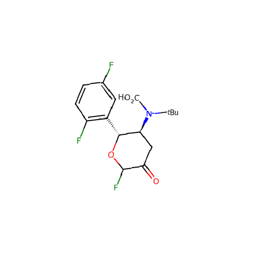 CC(C)(C)N(C(=O)O)[C@H]1CC(=O)C(F)O[C@@H]1c1cc(F)ccc1F